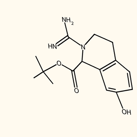 CC(C)(C)OC(=O)C1c2cc(O)ccc2CCN1C(=N)N